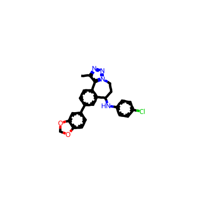 Cc1nnn2c1-c1ccc(-c3ccc4c(c3)OCO4)cc1C(Nc1ccc(Cl)cc1)CC2